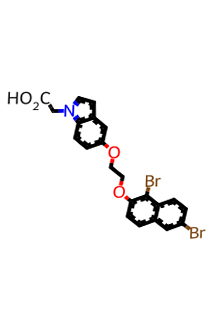 O=C(O)Cn1ccc2cc(OCCOc3ccc4cc(Br)ccc4c3Br)ccc21